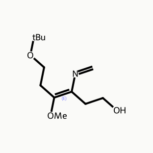 C=N/C(CCO)=C(\CCOC(C)(C)C)OC